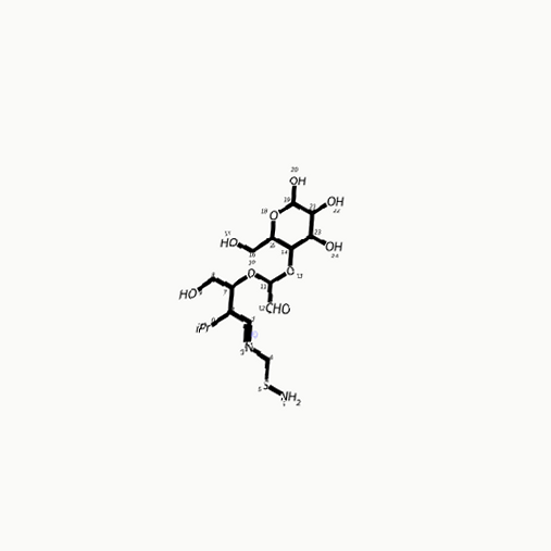 CC(C)C(/C=N/CSN)C(CO)OC(C=O)OC1C(CO)OC(O)C(O)C1O